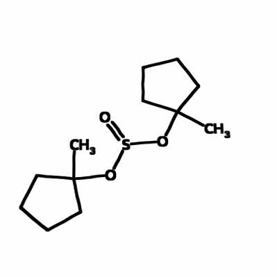 CC1(OS(=O)OC2(C)CCCC2)CCCC1